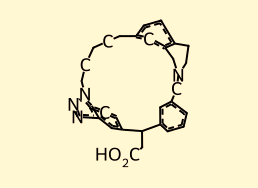 O=C(O)CC1c2cccc(c2)CN2CCc3ccc(cc3C2)CCCCCn2nnc3cc1ccc32